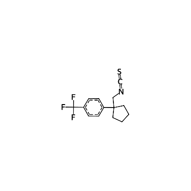 FC(F)(F)c1ccc(C2(CN=C=S)CCCC2)cc1